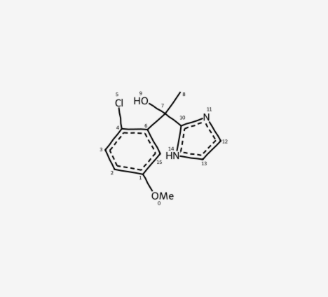 COc1ccc(Cl)c(C(C)(O)c2ncc[nH]2)c1